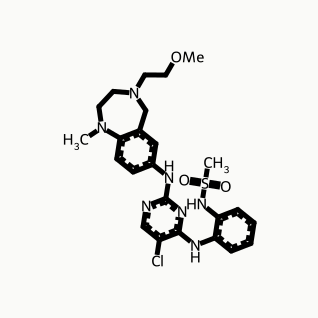 COCCN1CCN(C)c2ccc(Nc3ncc(Cl)c(Nc4ccccc4NS(C)(=O)=O)n3)cc2C1